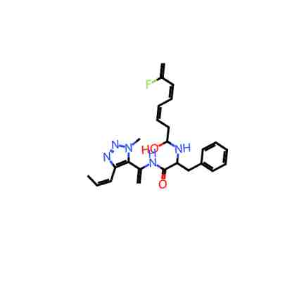 C=C(F)/C=C\C=C/CC(O)NC(Cc1ccccc1)C(=O)NC(=C)c1c(/C=C\C)nnn1C